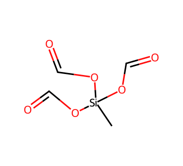 C[Si](OC=O)(OC=O)OC=O